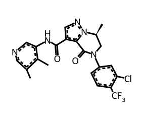 Cc1cncc(NC(=O)c2cnn3c2C(=O)N(c2ccc(C(F)(F)F)c(Cl)c2)C[C@@H]3C)c1C